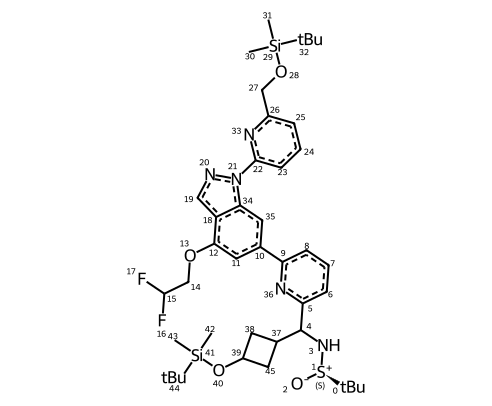 CC(C)(C)[S@@+]([O-])NC(c1cccc(-c2cc(OCC(F)F)c3cnn(-c4cccc(CO[Si](C)(C)C(C)(C)C)n4)c3c2)n1)C1CC(O[Si](C)(C)C(C)(C)C)C1